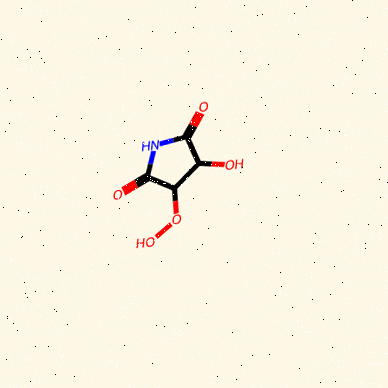 O=C1NC(=O)C(OO)C1O